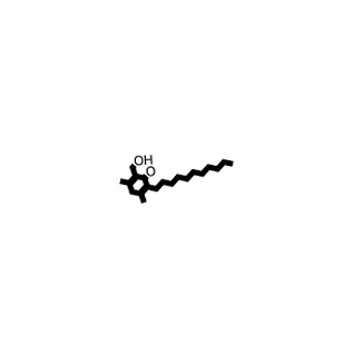 CCCCCCCCCCCC1=C(C)CC(C)=C(CO)C1=O